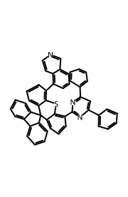 c1ccc(-c2cc(-c3ccccc3)nc(-c3cccc4c3Sc3c(-c5cccc6cnccc56)cccc3C43c4ccccc4-c4ccccc43)n2)cc1